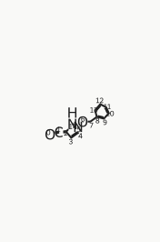 O=C=C1C=CN(OCc2ccccc2)N1